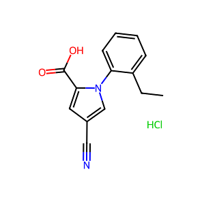 CCc1ccccc1-n1cc(C#N)cc1C(=O)O.Cl